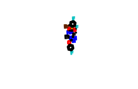 CCn1c(Oc2ccc(F)cc2)nnc1[C@@H](C)NS(=O)(=O)c1c(F)cc(F)cc1Br